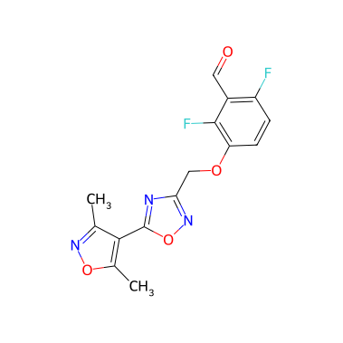 Cc1noc(C)c1-c1nc(COc2ccc(F)c(C=O)c2F)no1